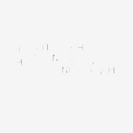 COC(=O)c1cccc(CNCN2C(CC(C)(C)C)CCC2C(=O)O)c1